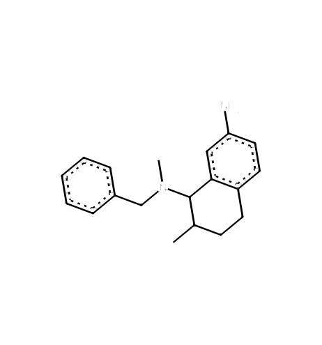 CC1CCc2ccc(N)cc2C1N(C)Cc1ccccc1